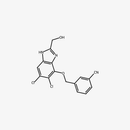 N#Cc1cccc(COc2c(Cl)c(Cl)cc3[nH]c(CO)nc23)c1